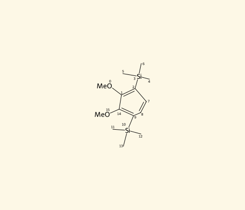 COc1c([Si](C)(C)C)ccc([Si](C)(C)C)c1OC